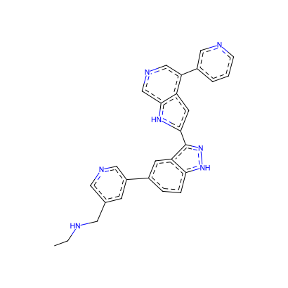 CCNCc1cncc(-c2ccc3[nH]nc(-c4cc5c(-c6cccnc6)cncc5[nH]4)c3c2)c1